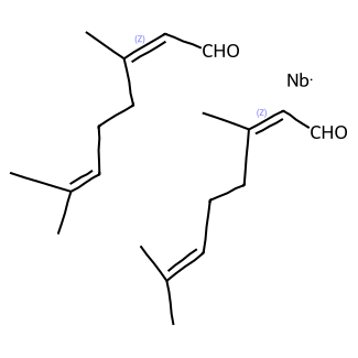 CC(C)=CCC/C(C)=C\C=O.CC(C)=CCC/C(C)=C\C=O.[Nb]